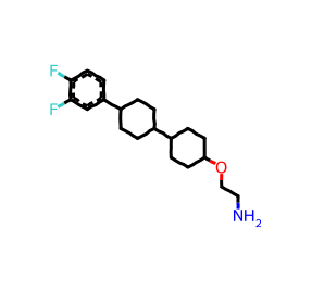 NCCOC1CCC(C2CCC(c3ccc(F)c(F)c3)CC2)CC1